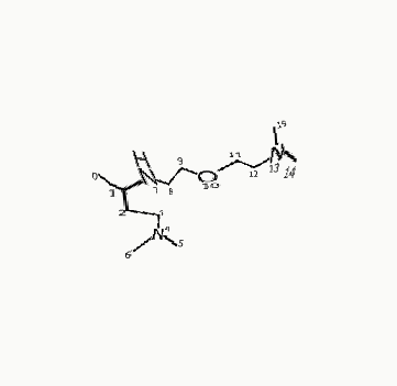 CC(CCN(C)C)NCCOCCN(C)C